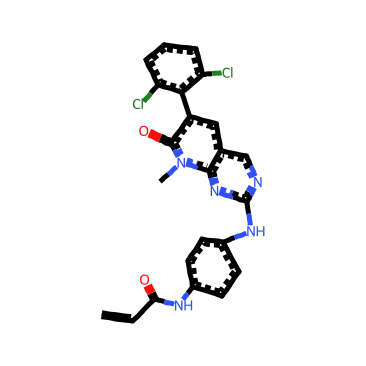 C=CC(=O)Nc1ccc(Nc2ncc3cc(-c4c(Cl)cccc4Cl)c(=O)n(C)c3n2)cc1